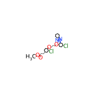 CCOC(=O)CCc1ccc(OCCCOc2ccc(Cl)cc2-n2nc3ccccc3n2)c(Cl)c1